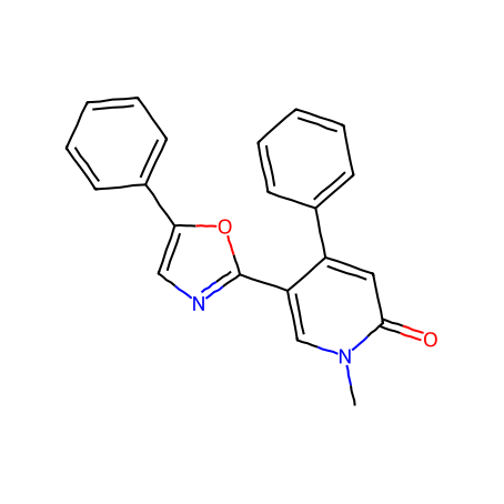 Cn1cc(-c2ncc(-c3ccccc3)o2)c(-c2ccccc2)cc1=O